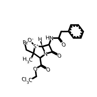 CC1(CBr)C(C(=O)OCC(Cl)(Cl)Cl)N2C(=O)C(NC(=O)Cc3ccccc3)[C@H]2[S+]1[O-]